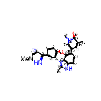 CN/C=C\C(=N)c1ccc(Oc2c(-c3cc(C)c(=O)n(C)c3)ccc3[nH]c(C)nc23)cc1